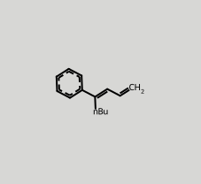 C=CC=C(CCCC)c1ccccc1